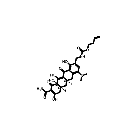 C=CCCOC(=O)NCc1cc(N(C)C)c2c(c1O)C(=O)C1=C(O)[C@]3(O)C(=O)C(C(N)=O)=C(O)C[C@@H]3C[C@@H]1C2